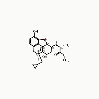 COC(=O)[C@@H](C)N[C@H]1CC[C@@]2(O)[C@H]3Cc4ccc(O)c5c4[C@@]2(CCN3CC2CC2)[C@H]1O5